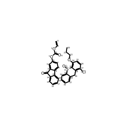 C=COC(=O)Oc1ccc2c(c1)C(=O)c1ccccc1-2.CCCOc1ccc(Cl)c2c1[S+]([O-])c1ccccc1C2